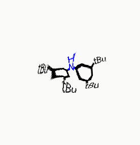 CC(C)(C)C1CC(NC2CC(C(C)(C)C)CC(C(C)(C)C)C2)CC(C(C)(C)C)C1